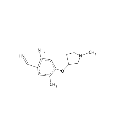 Cc1cc(C=N)c(N)cc1OC1CCN(C)C1